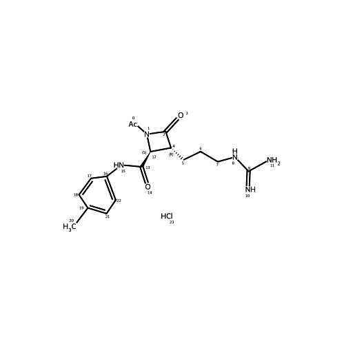 CC(=O)N1C(=O)[C@H](CCCNC(=N)N)[C@H]1C(=O)Nc1ccc(C)cc1.Cl